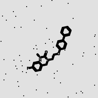 CNC(=O)N(CCOc1ccc(-c2ccccc2)cc1)Cc1ccc(F)cc1